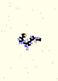 O=C(Nc1cncc(-c2ncc3[nH]nc(-c4nc5c(-c6ccsc6)cncc5[nH]4)c3c2F)c1)C1CC1